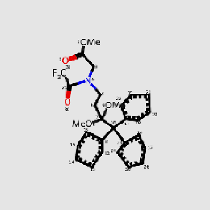 COC(=O)CN(CCC(OC)(OC)C(c1ccccc1)(c1ccccc1)c1ccccc1)C(=O)C(F)(F)F